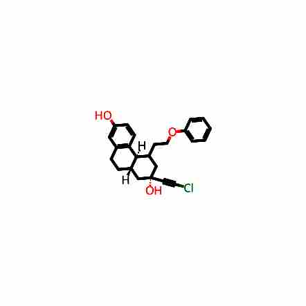 Oc1ccc2c(c1)CC[C@H]1C[C@](O)(C#CCl)CC(CCOc3ccccc3)[C@H]21